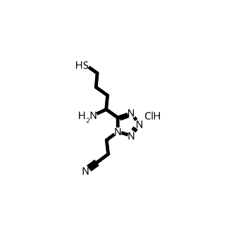 Cl.N#CCCn1nnnc1C(N)CCCS